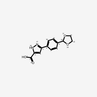 O=C(O)c1cc(-c2ccc(C3OCCO3)cc2)n[nH]1